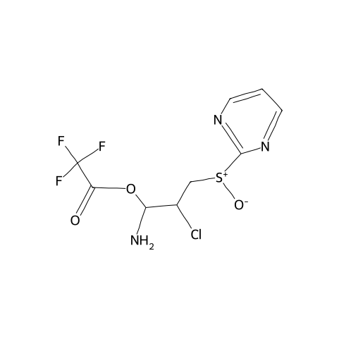 NC(OC(=O)C(F)(F)F)C(Cl)C[S+]([O-])c1ncccn1